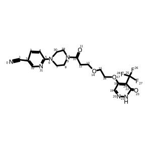 N#Cc1ccc(N2CCN(C(=O)CCOCCOc3cn[nH]c(=O)c3C(F)(F)F)CC2)nc1